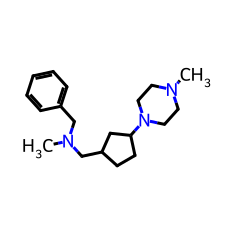 CN1CCN(C2CCC(CN(C)Cc3ccccc3)C2)CC1